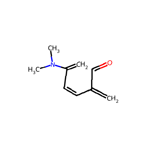 C=C(C=O)/C=C\C(=C)N(C)C